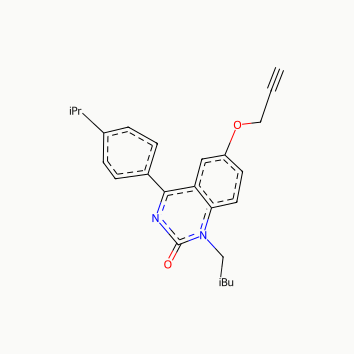 C#CCOc1ccc2c(c1)c(-c1ccc(C(C)C)cc1)nc(=O)n2CC(C)CC